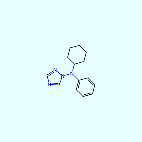 c1ccc(N(C2CCCCC2)n2cncn2)cc1